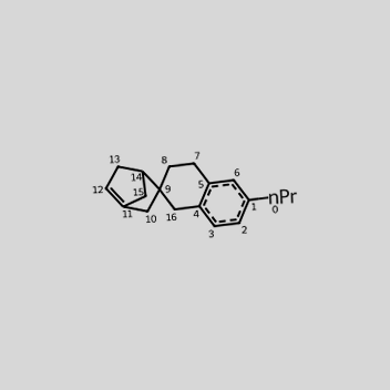 CCCc1ccc2c(c1)CCC1(CC3=CCC1C3)C2